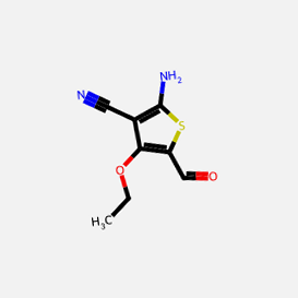 CCOc1c(C=O)sc(N)c1C#N